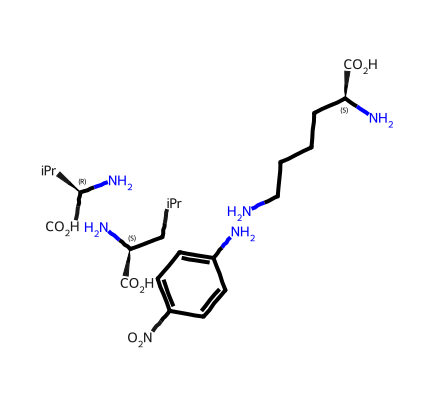 CC(C)C[C@H](N)C(=O)O.CC(C)[C@@H](N)C(=O)O.NCCCC[C@H](N)C(=O)O.Nc1ccc([N+](=O)[O-])cc1